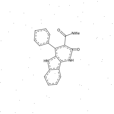 CNC(=O)c1c(-c2ccccc2)c2[nH]c3ccccc3c2[nH]c1=O